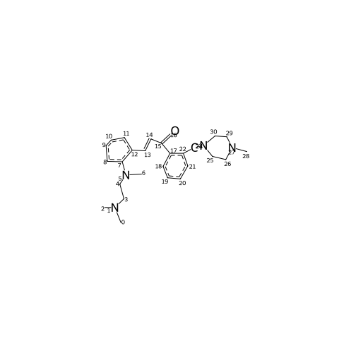 CN(C)CCN(C)c1ccccc1C=CC(=O)c1ccccc1CN1CCN(C)CC1